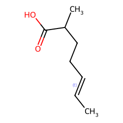 C/C=C/CCC(C)C(=O)O